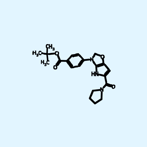 CC(C)(C)OC(=O)c1ccc(N2COc3cc(C(=O)N4CCCC4)[nH]c32)cc1